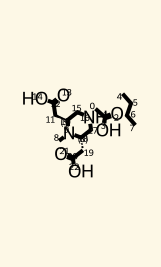 CC(=O)O.CCCC.CN1[C@@H](CC(=O)O)CNC[C@@H]1CC(=O)O